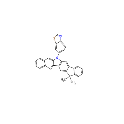 CC1(C)c2ccccc2-c2cc3c(cc21)c1cc2ccccc2cc1n3-c1ccc2ncsc2c1